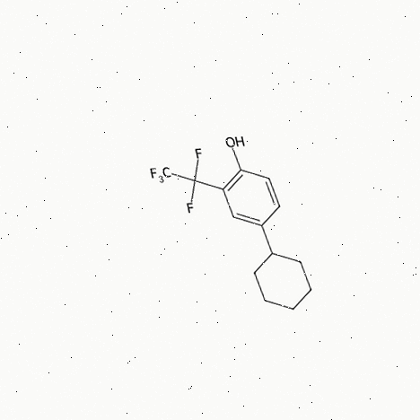 Oc1ccc(C2CCCCC2)cc1C(F)(F)C(F)(F)F